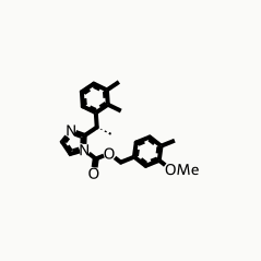 COc1cc(COC(=O)n2ccnc2[C@@H](C)c2cccc(C)c2C)ccc1C